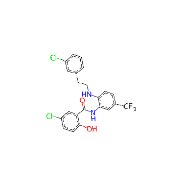 O=C(Nc1cc(C(F)(F)F)ccc1NCCc1cccc(Cl)c1)c1cc(Cl)ccc1O